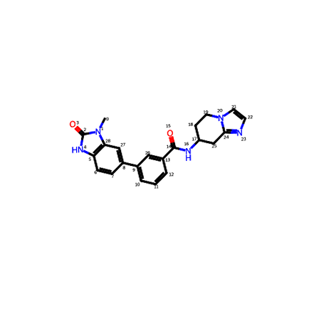 Cn1c(=O)[nH]c2ccc(-c3cccc(C(=O)NC4CCn5ccnc5C4)c3)cc21